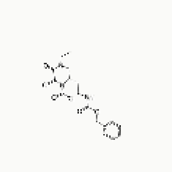 CCN1C[C@H](CCNC(=O)OCc2ccccc2)N(C(=O)Cl)C(=O)C1=O